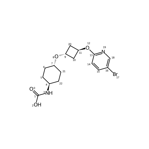 O=C(O)N[C@H]1CC[C@H](O[C@H]2C[C@H](Oc3ccc(Br)cn3)C2)CC1